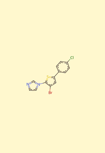 Clc1ccc(-c2cc(Br)c(-n3ccnc3)s2)cc1